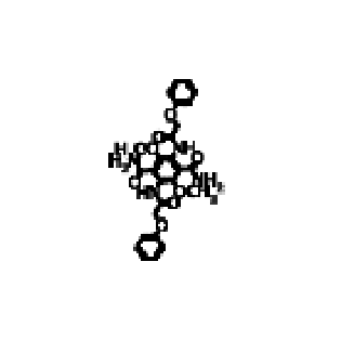 COc1c(NC(=O)COc2ccccc2)c(C(N)=O)c(OC)c(NC(=O)COc2ccccc2)c1C(N)=O